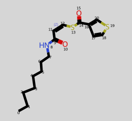 CCCCCCCCNC(=O)/C=C\SC(=O)c1ccsc1